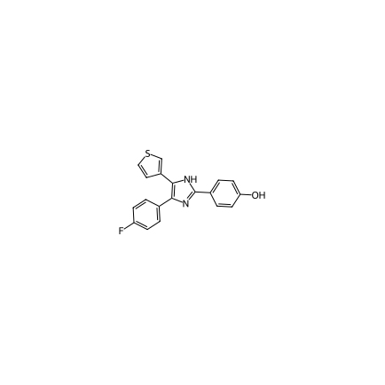 Oc1ccc(-c2nc(-c3ccc(F)cc3)c(-c3ccsc3)[nH]2)cc1